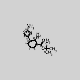 CC(C)(C)OC(=O)c1cccc(-c2csc(N)n2)c1N